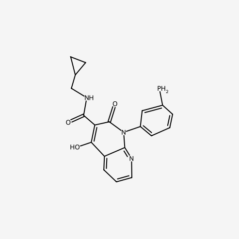 O=C(NCC1CC1)c1c(O)c2cccnc2n(-c2cccc(P)c2)c1=O